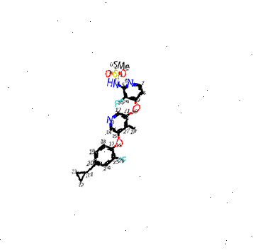 CSS(=O)(=O)Nc1nccc(Oc2cncc(Oc3ccc(C4CC4)cc3F)c2C)c1F